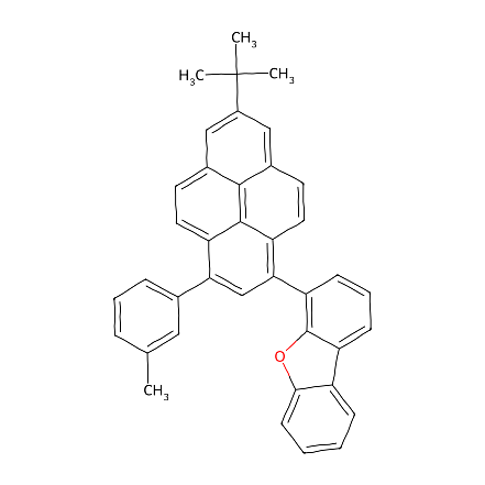 Cc1cccc(-c2cc(-c3cccc4c3oc3ccccc34)c3ccc4cc(C(C)(C)C)cc5ccc2c3c54)c1